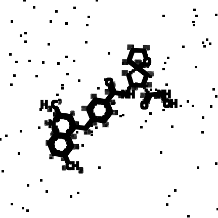 Cc1ccc2nc(C)cc(Cc3ccc(C(=O)N[C@@H]4C[C@@]5(CCCO5)C[C@@H]4C(=O)NO)cc3)c2c1